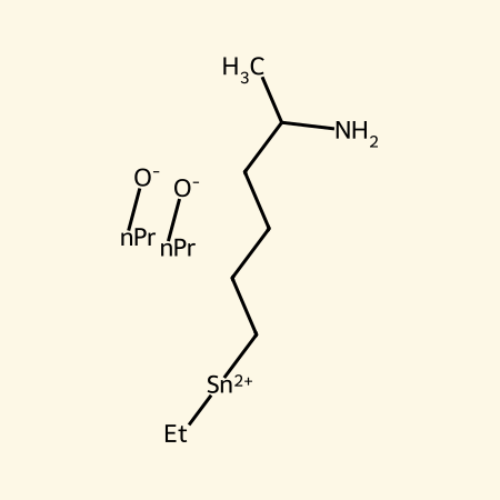 CCC[O-].CCC[O-].C[CH2][Sn+2][CH2]CCCC(C)N